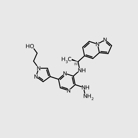 C[C@H](Nc1nc(-c2cnn(CCO)c2)cnc1NN)c1ccn2nccc2c1